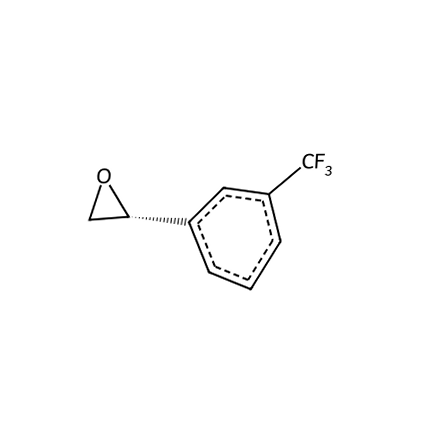 FC(F)(F)c1cccc([C@@H]2CO2)c1